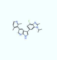 Cc1ccnc(C)c1-c1cnc2[nH]cc(-c3cc(F)c4nc(C)n(C(C)C)c4c3)c2c1